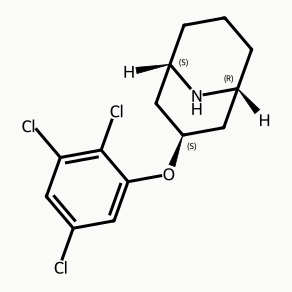 Clc1cc(Cl)c(Cl)c(O[C@@H]2C[C@H]3CCC[C@@H](C2)N3)c1